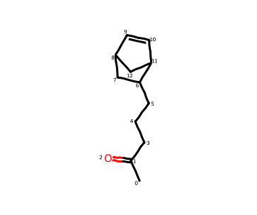 CC(=O)CCCC1CC2C=CC1C2